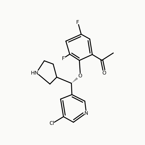 CC(=O)c1cc(F)cc(F)c1O[C@H](c1cncc(Cl)c1)C1CCNC1